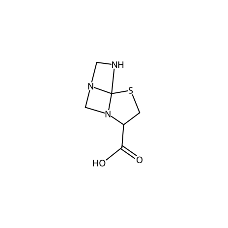 O=C(O)C1CSC23NCN2CN13